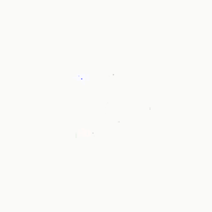 CC(=O)Oc1cc(OC(C)=O)cc(C(CNC(C)(C)C)OC(C)=O)c1.CCO.Cl